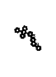 c1ccc(-c2c3ccccc3c(-c3ccc4sc5cc6c(ccc7c8ccccc8sc67)cc5c4c3)c3ccccc23)cc1